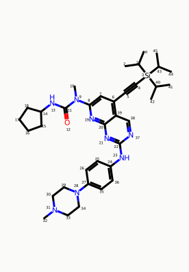 CC(C)[Si](C#Cc1cc(N(C)C(=O)NC2CCCC2)nc2nc(Nc3ccc(N4CCN(C)CC4)cc3)ncc12)(C(C)C)C(C)C